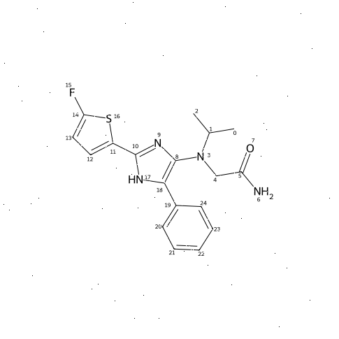 CC(C)N(CC(N)=O)c1nc(-c2ccc(F)s2)[nH]c1-c1ccccc1